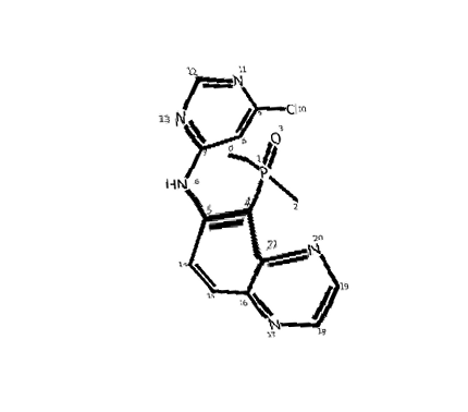 CP(C)(=O)c1c(Nc2cc(Cl)ncn2)ccc2nccnc12